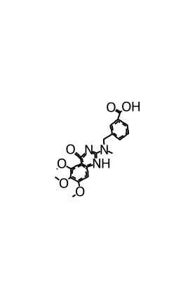 COc1cc2[nH]c(N(C)Cc3cccc(C(=O)O)c3)nc(=O)c2c(OC)c1OC